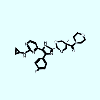 C[C@]1(C(=O)N2CCOCC2)CO[C@H](c2nc(-c3ccc(F)cc3)c(-c3ccnc(NC4CC4)n3)[nH]2)OC1